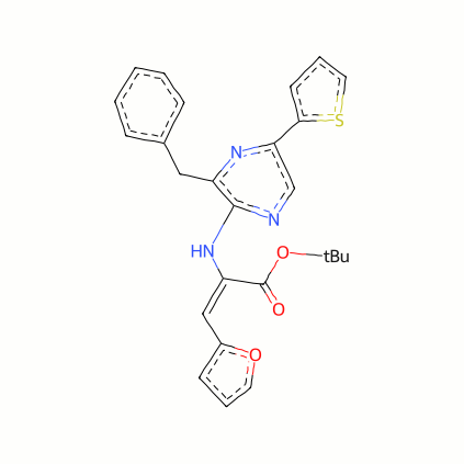 CC(C)(C)OC(=O)C(=Cc1ccco1)Nc1ncc(-c2cccs2)nc1Cc1ccccc1